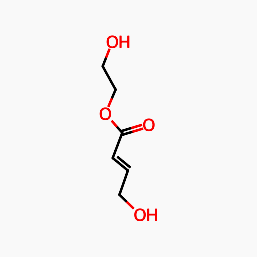 O=C(C=CCO)OCCO